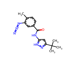 Cc1ccc(C(=O)Nc2cc(C(C)(C)C)n[nH]2)cc1N=[N+]=[N-]